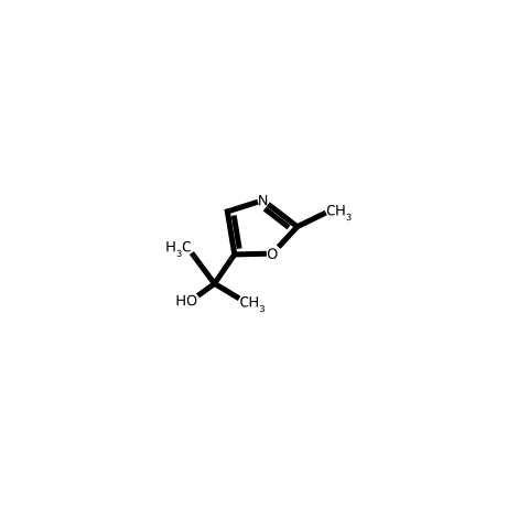 Cc1ncc(C(C)(C)O)o1